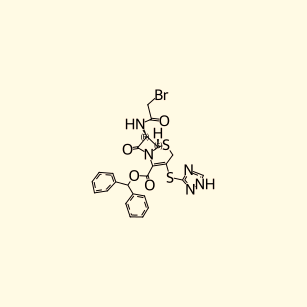 O=C(CBr)N[C@@H]1C(=O)N2C(C(=O)OC(c3ccccc3)c3ccccc3)=C(Sc3nc[nH]n3)CS[C@@H]12